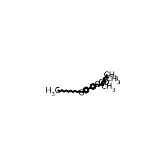 CCCCCCCCCCCOc1ccc(-c2ccc(OCC(C)OC(=O)CC(C)C)cc2)cc1